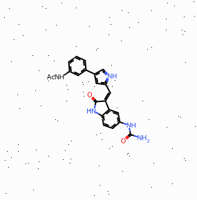 CC(=O)Nc1cccc(-c2c[nH]c(C=C3C(=O)Nc4ccc(NC(N)=O)cc43)c2)c1